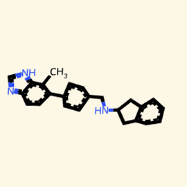 Cc1c(-c2ccc(CNC3Cc4ccccc4C3)cc2)ccc2nc[nH]c12